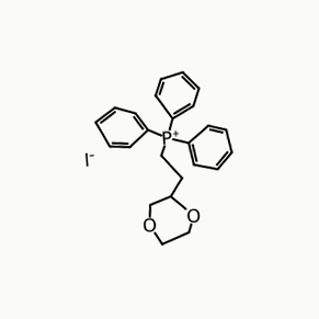 [I-].c1ccc([P+](CCC2COCCO2)(c2ccccc2)c2ccccc2)cc1